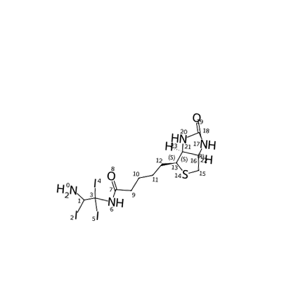 NC(I)C(I)(I)NC(=O)CCCC[C@@H]1SC[C@@H]2NC(=O)N[C@@H]21